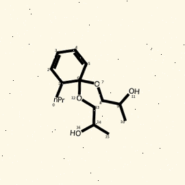 CCCC1C=CC=CC1(OCC(C)O)OCC(C)O